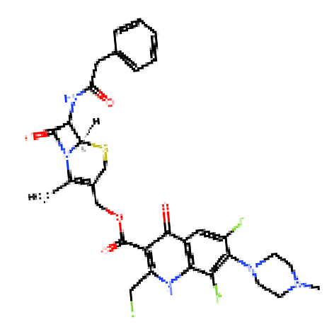 CN1CCN(c2c(F)cc3c(=O)c(C(=O)OCC4=C(C(=O)O)N5C(=O)C(NC(=O)Cc6ccccc6)[C@H]5SC4)c(CF)[nH]c3c2F)CC1